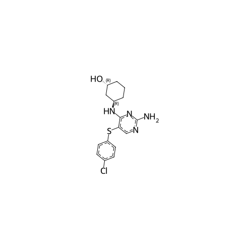 Nc1ncc(Sc2ccc(Cl)cc2)c(N[C@@H]2CCC[C@@H](O)C2)n1